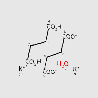 O.O=C(O)CCC(=O)O.O=C([O-])CCC(=O)[O-].[K+].[K+]